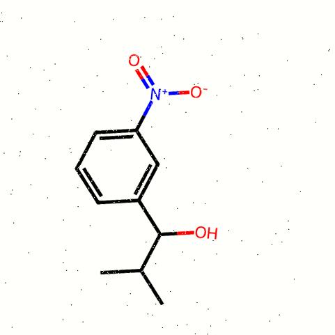 CC(C)C(O)c1cccc([N+](=O)[O-])c1